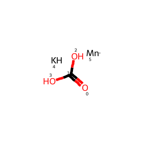 O=C(O)O.[KH].[Mn]